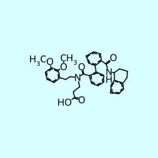 COc1cccc(CCN(CCC(=O)O)C(=O)c2ccccc2-c2ccccc2C(=O)NC2CCCc3ccccc32)c1OC